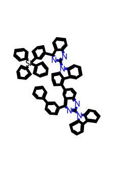 c1ccc(-c2cccc(-c3nc(-n4c5ccccc5c5ccccc54)nc4ccc(-c5cccc6c5c5ccccc5n6-c5nc(-c6cccc([Si](c7ccccc7)(c7ccccc7)c7ccccc7)c6)c6ccccc6n5)cc34)c2)cc1